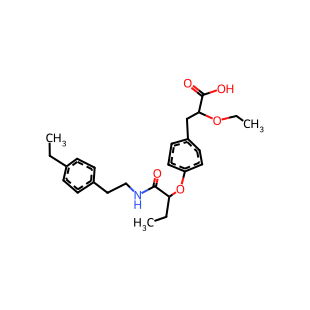 CCOC(Cc1ccc(OC(CC)C(=O)NCCc2ccc(CC)cc2)cc1)C(=O)O